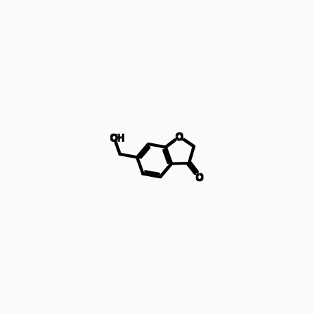 O=C1COc2cc(CO)ccc21